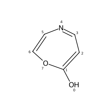 OC1=CC=NC=CO1